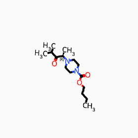 CCCCOC(=O)N1CCN([C@H](C)C(=O)C(C)C)CC1